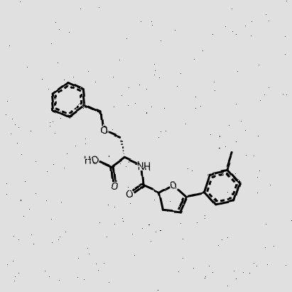 Cc1cccc(C2=CCC(C(=O)N[C@@H](COCc3ccccc3)C(=O)O)O2)c1